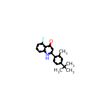 Cc1cc(C(C)(C)C)ccc1-c1cc(=O)c2c(F)cccc2[nH]1